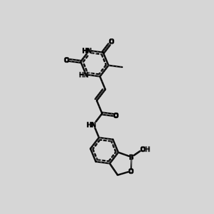 Cc1c(/C=C/C(=O)Nc2ccc3c(c2)B(O)OC3)[nH]c(=O)[nH]c1=O